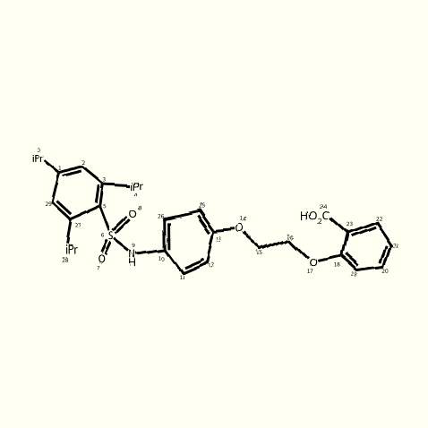 CC(C)c1cc(C(C)C)c(S(=O)(=O)Nc2ccc(OCCOc3ccccc3C(=O)O)cc2)c(C(C)C)c1